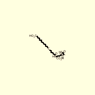 C[C@H](NC(O)CCC(NC(=O)CCCCCCCCCCCCCCCCCCC(=O)O)C(=O)O)C(=O)S